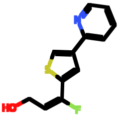 OC/C=C(/F)c1cc(-c2ccccn2)cs1